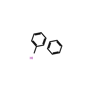 Cc1ccccc1.I.c1ccccc1